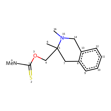 CNC(=S)OCC1(C)Cc2ccccc2CN1C